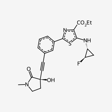 CCOC(=O)c1nc(-c2cccc(C#C[C@]3(O)CCN(C)C3=O)c2)sc1N[C@@H]1C[C@H]1F